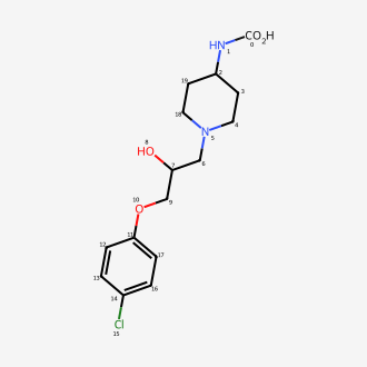 O=C(O)NC1CCN(CC(O)COc2ccc(Cl)cc2)CC1